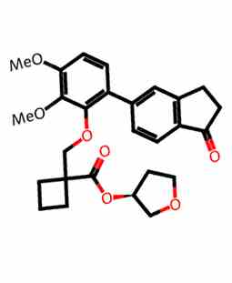 COc1ccc(-c2ccc3c(c2)CCC3=O)c(OCC2(C(=O)O[C@H]3CCOC3)CCC2)c1OC